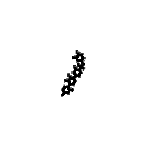 Cc1ccc(-c2ccc(-c3ccc(C(F)(F)Oc4ccc(F)c(F)c4)c(F)c3)c(F)c2F)c(F)c1